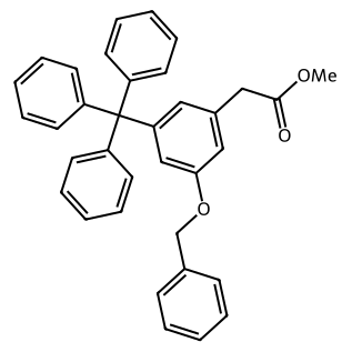 COC(=O)Cc1cc(OCc2ccccc2)cc(C(c2ccccc2)(c2ccccc2)c2ccccc2)c1